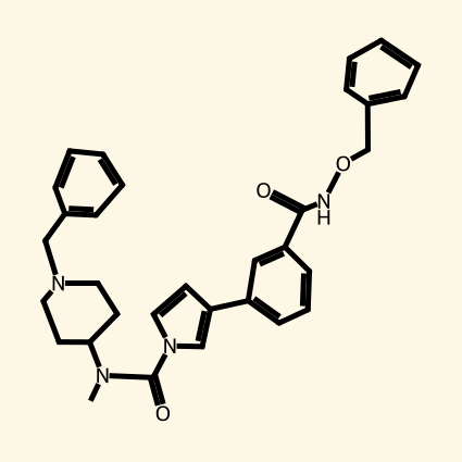 CN(C(=O)n1ccc(-c2cccc(C(=O)NOCc3ccccc3)c2)c1)C1CCN(Cc2ccccc2)CC1